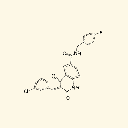 O=C1Nc2ccc(C(=O)NCc3ccc(F)cc3)cc2C(=O)/C1=C\c1cccc(Cl)c1